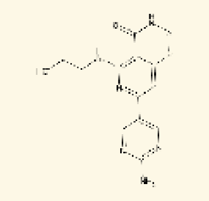 Nc1ncc(-c2cc3cc[nH]c(=O)c3c(NCCO)n2)cn1